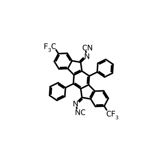 [C-]#[N+]/N=c1\c2cc(C(F)(F)F)ccc2c2c(-c3ccccc3)c3/c(=N/C#N)c4cc(C(F)(F)F)ccc4c3c(-c3ccccc3)c12